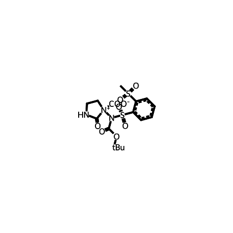 CC(C)(C)OC(=O)N([N+]1(C(=O)[O-])CCNC1=O)S(=O)(=O)c1ccccc1S(C)(=O)=O